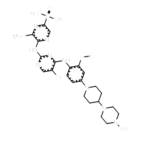 CCOc1cc(N2CCC(N3CCN(C)CC3)CC2)ccc1Nc1nc(Nc2ncc(P(C)(C)=O)nc2OC)ncc1Cl